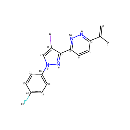 C=C(C)c1ccc(-c2nn(-c3ccc(F)cc3)cc2I)nn1